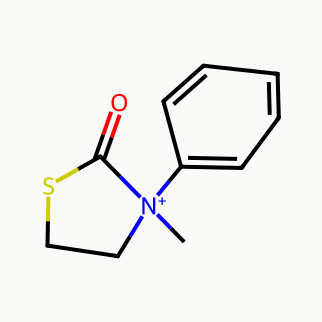 C[N+]1(c2ccccc2)CCSC1=O